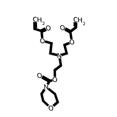 C=CC(=O)OCCN(CCOC(=O)C=C)CCOC(=O)N1CCOCC1